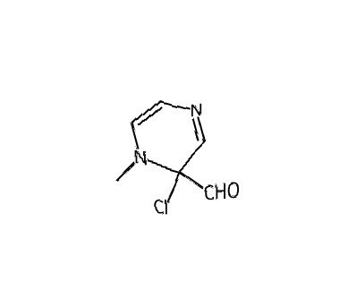 CN1C=CN=CC1(Cl)C=O